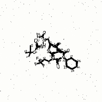 Cc1c(CN(NC(=O)OC(C)(C)C)C(N)=O)sc2c1c(=O)n(C1CCCCC1)c(=O)n2CCC(F)(F)F